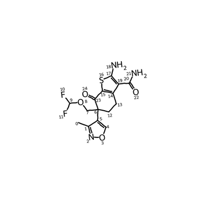 Cc1nocc1C1(COC(F)F)CCc2c(sc(N)c2C(N)=O)C1=O